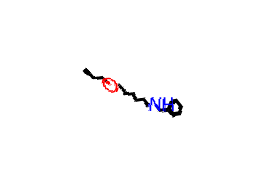 C#CCCOCCCCCCNCc1ccccc1